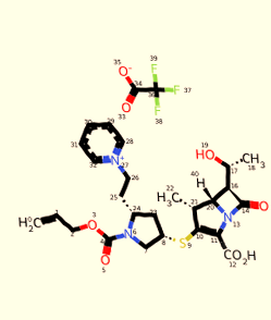 C=CCOC(=O)N1C[C@@H](SC2=C(C(=O)O)N3C(=O)[C@H]([C@@H](C)O)[C@H]3[C@H]2C)C[C@H]1CC[n+]1ccccc1.O=C([O-])C(F)(F)F